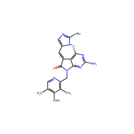 CCCCc1ncc(/C=C2/C(=O)N(Cc3ncc(C)c(OC)c3C)c3nc(N)nc(Cl)c32)[nH]1